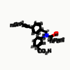 CCCCCCCCC#Cc1ccc(CN(C(=O)CCCCC)c2cccc(C(=O)O)c2)cc1